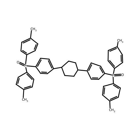 Cc1ccc(P(=O)(c2ccc(C)cc2)c2ccc(C3CCC(c4ccc(P(=O)(c5ccc(C)cc5)c5ccc(C)cc5)cc4)CC3)cc2)cc1